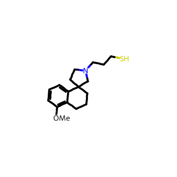 COc1cccc2c1CCCC21CCN(CCCS)C1